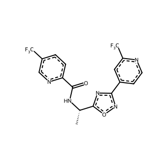 C[C@H](NC(=O)c1ccc(C(F)(F)F)cn1)c1nc(-c2ccnc(C(F)(F)F)c2)no1